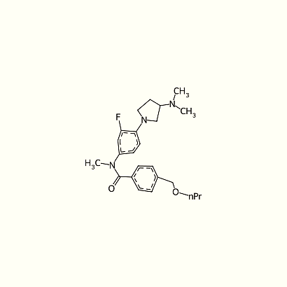 CCCOCc1ccc(C(=O)N(C)c2ccc(N3CCC(N(C)C)C3)c(F)c2)cc1